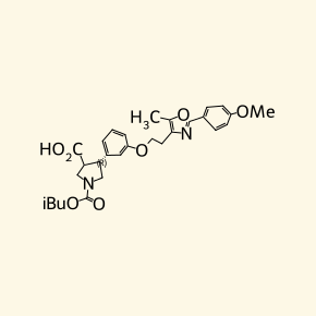 COc1ccc(-c2nc(CCOc3cccc([C@@H]4CN(C(=O)OCC(C)C)CC4C(=O)O)c3)c(C)o2)cc1